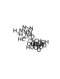 C#CC1(N)C(CO)[C@@H]([C@H](C)OP(=O)(O)OP(=O)(O)OP(=O)(O)O)O[C@H]1n1cnc2cnc(N)nc21